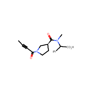 CC#CC(=O)N1CC[C@H](C(=O)N(C)C(C(=O)O)C(C)C)C1